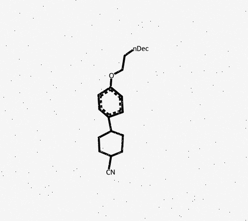 CCCCCCCCCCCCOc1ccc(C2CCC(C#N)CC2)cc1